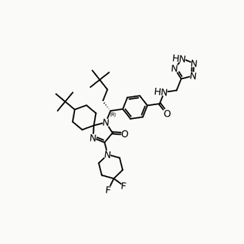 CC(C)(C)CC[C@H](c1ccc(C(=O)NCc2nn[nH]n2)cc1)N1C(=O)C(N2CCC(F)(F)CC2)=NC12CCC(C(C)(C)C)CC2